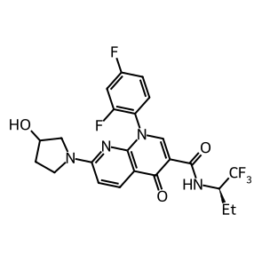 CC[C@@H](NC(=O)c1cn(-c2ccc(F)cc2F)c2nc(N3CCC(O)C3)ccc2c1=O)C(F)(F)F